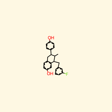 CC1C(c2ccc(O)cc2)Cc2ccc(O)cc2C1Cc1cccc(F)c1